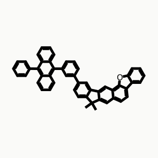 CC1(C)c2ccc(-c3cccc(-c4c5ccccc5c(-c5ccccc5)c5ccccc45)c3)cc2-c2cc3c(ccc4c5ccccc5oc34)cc21